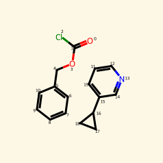 O=C(Cl)OCc1ccccc1.c1cncc(C2CC2)c1